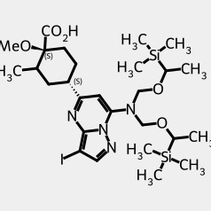 CO[C@@]1(C(=O)O)CC[C@H](c2cc(N(COC(C)[Si](C)(C)C)COC(C)[Si](C)(C)C)n3ncc(I)c3n2)CC1C